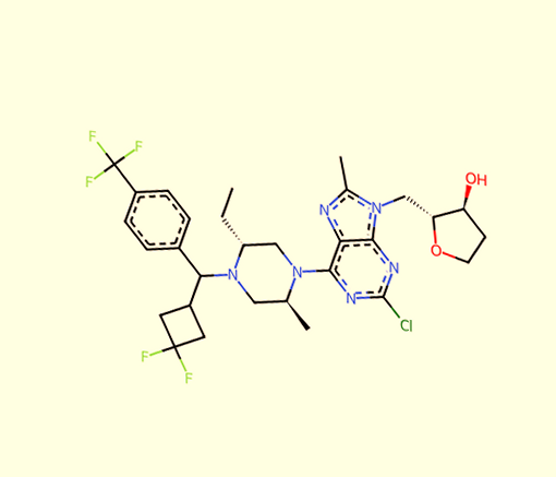 CC[C@@H]1CN(c2nc(Cl)nc3c2nc(C)n3C[C@H]2OCC[C@@H]2O)[C@@H](C)CN1C(c1ccc(C(F)(F)F)cc1)C1CC(F)(F)C1